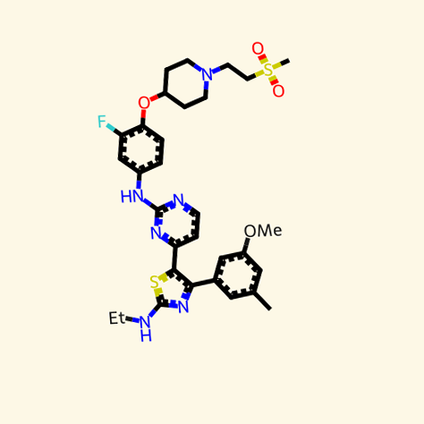 CCNc1nc(-c2cc(C)cc(OC)c2)c(-c2ccnc(Nc3ccc(OC4CCN(CCS(C)(=O)=O)CC4)c(F)c3)n2)s1